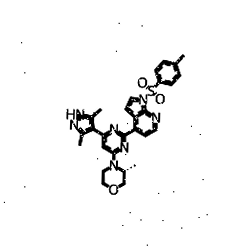 Cc1ccc(S(=O)(=O)n2ccc3c(-c4nc(-c5c(C)n[nH]c5C)cc(N5CCOC[C@H]5C)n4)ccnc32)cc1